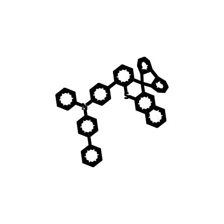 c1ccc(-c2ccc(N(c3ccccc3)c3ccc(-c4cccc5c4Sc4cc6ccccc6cc4C54c5ccccc5-c5ccccc54)cc3)cc2)cc1